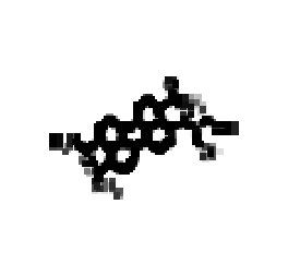 NC(=O)c1ccc2c3ccc(C(N)=O)c4c(C(=O)N(CO)CO)ccc(c5ccc(C(N)=O)c1c25)c43